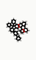 c1ccc(C2(c3ccccc3)c3ccccc3-c3c(N(c4ccccc4-c4cccc5cccc(C6CCCCC6)c45)c4cccc5c4sc4ccccc45)cccc32)cc1